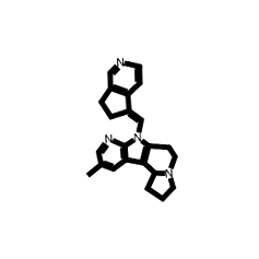 Cc1cnc2c(c1)c1c(n2/C=C2\CCc3cnccc32)CCN2CCCC12